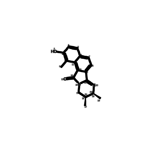 Cc1c(O)ccc2ccc3c(c12)C(=O)N1C[C@H](C)[C@H](C)N=C31